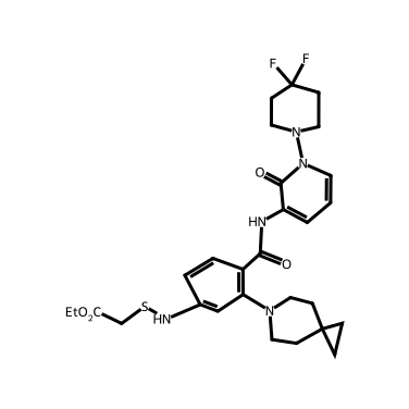 CCOC(=O)CSNc1ccc(C(=O)Nc2cccn(N3CCC(F)(F)CC3)c2=O)c(N2CCC3(CC2)CC3)c1